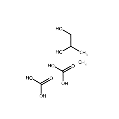 C.CC(O)CO.O=C(O)O.O=C(O)O